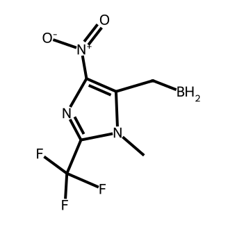 BCc1c([N+](=O)[O-])nc(C(F)(F)F)n1C